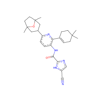 CC1(C)CC=C(c2nc(C3CC4(C)CCC(C)(C3)O4)ccc2NC(=O)c2ncc(C#N)[nH]2)CC1